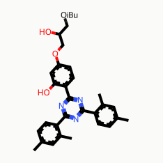 Cc1ccc(-c2nc(-c3ccc(C)cc3C)nc(-c3ccc(OCC(O)COCC(C)C)cc3O)n2)c(C)c1